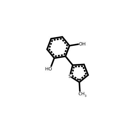 Cc1ccc(-c2c(O)cccc2O)s1